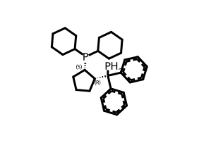 PC(c1ccccc1)(c1ccccc1)[C@@H]1CCC[C@@H]1P(C1CCCCC1)C1CCCCC1